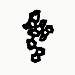 c1cc(-c2ccc3c(c2)C2(c4ccccc4-c4ccccc42)c2ccccc2C32c3ccccc3-c3ccccc32)cc(-c2cccc3cccnc23)c1